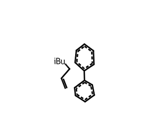 C=CCC(C)CC.c1ccc(-c2ccccc2)cc1